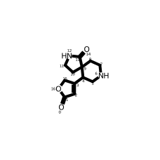 O=C1C=C(C2CNCCC23CCNC3=O)CO1